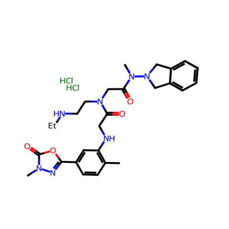 CCNCCN(CC(=O)N(C)N1Cc2ccccc2C1)C(=O)CNc1cc(-c2nn(C)c(=O)o2)ccc1C.Cl.Cl